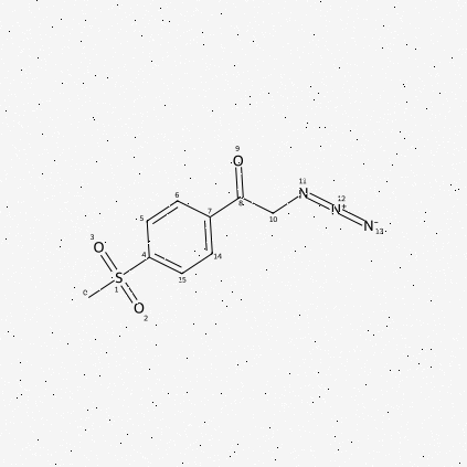 CS(=O)(=O)c1ccc(C(=O)CN=[N+]=[N-])cc1